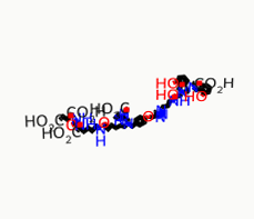 O=C(O)CCC(NC(=O)NC(CCCCNC(=O)CCCCCN(Cc1ccc(OCc2cn(CCCNC(O)CN(CCN(CC(=O)O)Cc3ccccc3O)Cc3ccccc3O)nn2)cc1)Cc1nccn1CC(=O)O)C(=O)O)C(=O)O